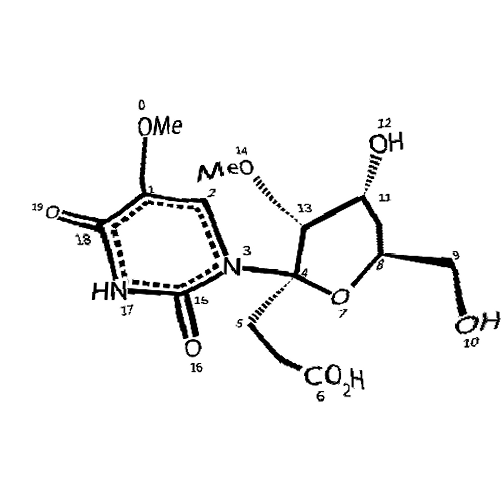 COc1cn([C@]2(CC(=O)O)O[C@H](CO)[C@@H](O)[C@H]2OC)c(=O)[nH]c1=O